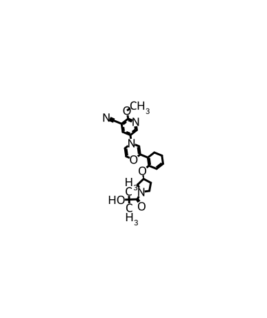 COc1ncc(N2C=COC(C3=C(O[C@H]4CCN(C(=O)C(C)(C)O)C4)C=CCC3)=C2)cc1C#N